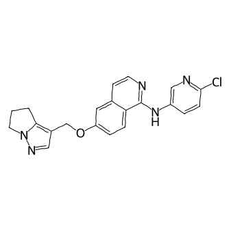 Clc1ccc(Nc2nccc3cc(OCc4cnn5c4CCC5)ccc23)cn1